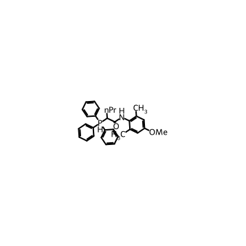 CCCC(C(=O)Nc1c(C)cc(OC)cc1C)[PH](c1ccccc1)(c1ccccc1)c1ccccc1